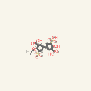 COc1c(C(=O)O)cc(-c2cc(C(=O)O)c(O)c(S(=O)(=O)O)c2)cc1S(=O)(=O)O